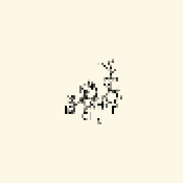 Cc1[nH]c2c(-c3cc(F)ccc3OCC3CC3)ncnc2c1C(=O)O